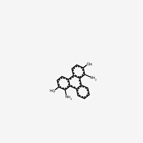 Nc1c(O)ccc2c3ccc(O)c(N)c3c3ccccc3c12